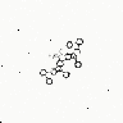 CC1c2cc3c4c(n(-c5ccccc5)c3cc2-c2cc3c(cc2C1C)c1cc(-c2ccccc2-c2ccccc2)ccc1n3-c1ccccc1)CCC(c1ccccc1-c1ccccc1)=C4